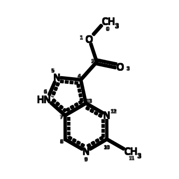 COC(=O)c1n[nH]c2cnc(C)nc12